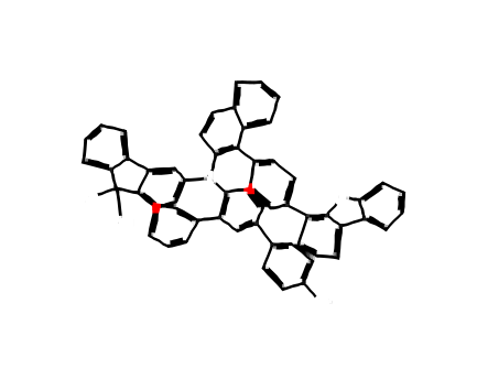 CC(C)(C)c1ccc(-c2ccc(N(c3ccc4c(c3)-c3ccccc3C4(C)C)c3ccc4ccccc4c3-c3ccc(-c4cccc5c4oc4ccccc45)cc3)c(-c3ccccc3)c2)cc1